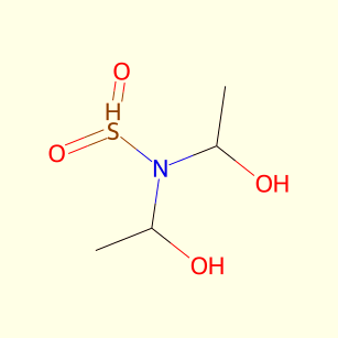 CC(O)N(C(C)O)[SH](=O)=O